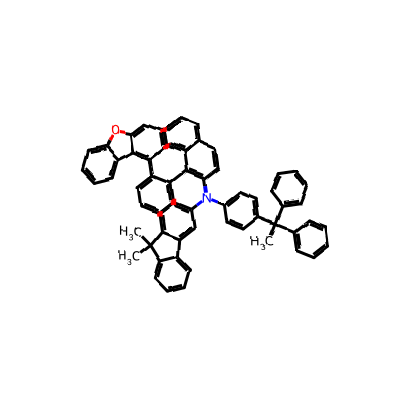 CC1(C)c2ccccc2-c2cc(N(c3ccc(C(C)(c4ccccc4)c4ccccc4)cc3)c3ccc4ccccc4c3-c3ccccc3-c3cccc4oc5ccccc5c34)ccc21